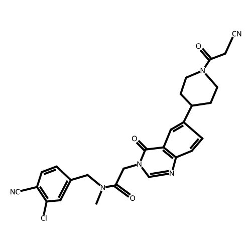 CN(Cc1ccc(C#N)c(Cl)c1)C(=O)Cn1cnc2ccc(C3CCN(C(=O)CC#N)CC3)cc2c1=O